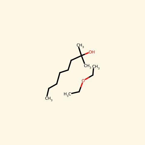 CCCCCCC(C)(C)O.CCOCC